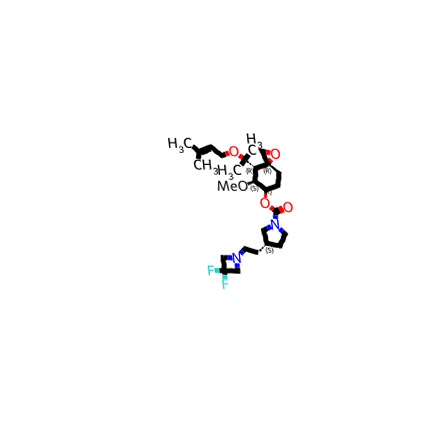 CO[C@H]1[C@H](C(C)(C)OCC=C(C)C)[C@]2(CC[C@H]1OC(=O)N1CC[C@H](CCN3CC(F)(F)C3)C1)CO2